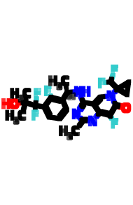 Cc1nc(N[C@H](C)c2cccc(C(F)(F)C(C)(C)O)c2F)c2cn(C3(C(F)F)CC3)c(=O)c(F)c2n1